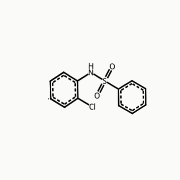 O=S(=O)(Nc1cc[c]cc1Cl)c1ccccc1